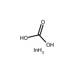 O=C(O)O.[InH3]